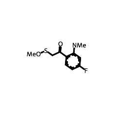 CNc1cc(F)ccc1C(=O)CSOC